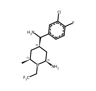 C[C@H]1C[C@@H](C(N)c2ccc(F)c(Cl)c2)C[C@@H](N)N1CC(F)(F)F